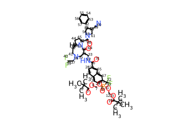 CC(C)(C)C(=O)OCOP(=O)(OCOC(=O)C(C)(C)C)C(F)(F)c1ccc2ccc(C(=O)NCC3CN(CC(F)F)CC[C@H]4CC[C@@H](C(=O)N5C[C@H](c6ccccc6)[C@@H](C#N)C5)N4C3=O)cc2c1